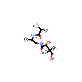 CC(CNC(=O)C(O)C(C)(C)CO)NC(=O)C(C)C